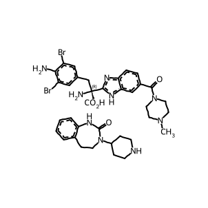 CN1CCN(C(=O)c2ccc3nc([C@](N)(Cc4cc(Br)c(N)c(Br)c4)C(=O)O)[nH]c3c2)CC1.O=C1Nc2ccccc2CCN1C1CCNCC1